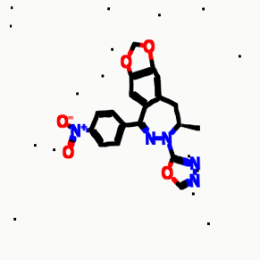 C[C@@H]1Cc2cc3c(cc2C(c2ccc([N+](=O)[O-])cc2)=NN1c1nnco1)OCO3